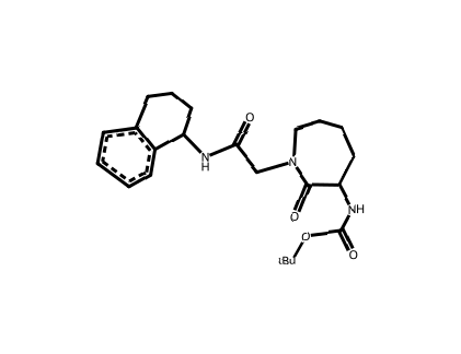 CC(C)(C)OC(=O)NC1CCCCN(CC(=O)NC2CCCc3ccccc32)C1=O